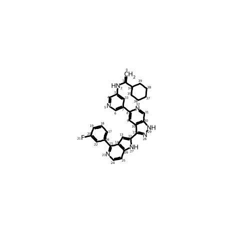 C=C(Nc1cncc(-c2cc3c(-c4cc5c(-c6cccc(F)c6)nccc5[nH]4)n[nH]c3cn2)c1)C1CCCCC1